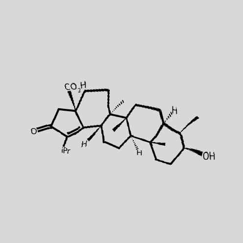 CC(C)C1=C2[C@H]3CC[C@@H]4[C@@]5(C)CC[C@H](O)[C@H](C)[C@@H]5CC[C@@]4(C)[C@]3(C)CC[C@@]2(C(=O)O)CC1=O